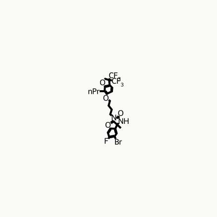 CCCc1c(OCCCCN2C(=O)NC(C)(c3ccc(F)c(Br)c3)C2=O)ccc2c1OCC2(C(F)(F)F)C(F)(F)F